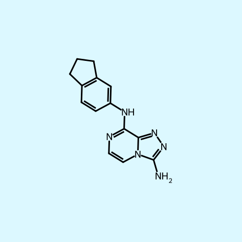 Nc1nnc2c(Nc3ccc4c(c3)CCC4)nccn12